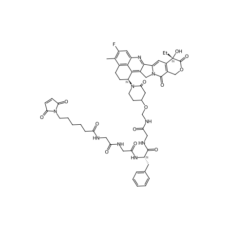 CC[C@@]1(O)C(=O)OCc2c1cc1n(c2=O)Cc2c-1nc1cc(F)c(C)c3c1c2[C@@H](N1CCC(OCNC(=O)CNC(=O)[C@H](Cc2ccccc2)NC(=O)CNC(=O)CNC(=O)CCCCCN2C(=O)C=CC2=O)CC1=O)CC3